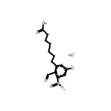 Cl.O=Cc1c(CCCCCCC(=O)O)cc(Cl)cc1[N+](=O)[O-]